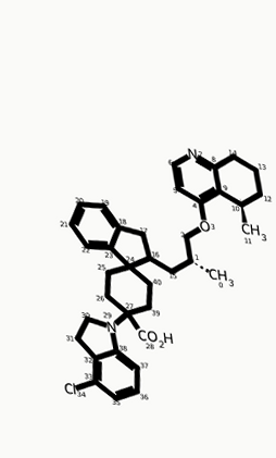 C[C@@H](COc1ccnc2c1[C@H](C)CCC2)CC1Cc2ccccc2C12CCC(C(=O)O)(N1CCc3c(Cl)cccc31)CC2